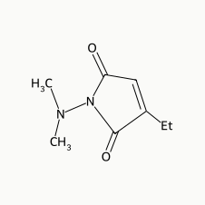 CCC1=CC(=O)N(N(C)C)C1=O